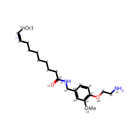 CCCCCCCC/C=C\CCCCCCCC(=O)NCc1ccc(OCCN)c(OC)c1